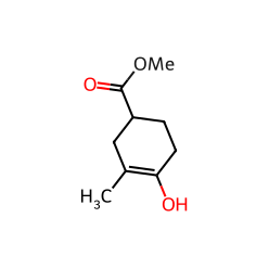 COC(=O)C1CCC(O)=C(C)C1